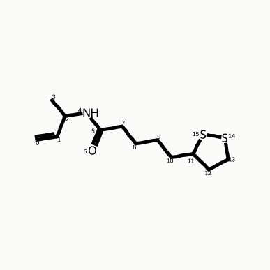 C=CC(C)NC(=O)CCCCC1CCSS1